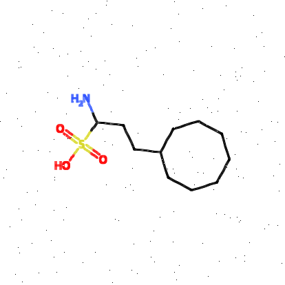 NC(CCC1CCCCCCC1)S(=O)(=O)O